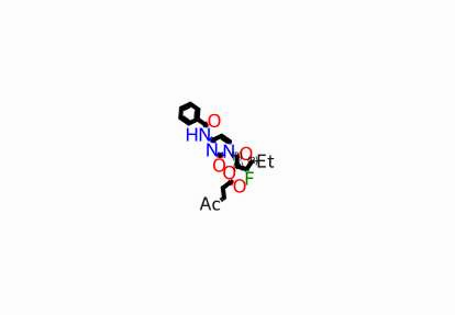 CC[C@H]1O[C@@H](n2ccc(NC(=O)c3ccccc3)nc2=O)[C@@H](OC(=O)CCC(C)=O)C1F